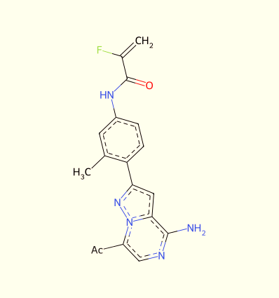 C=C(F)C(=O)Nc1ccc(-c2cc3c(N)ncc(C(C)=O)n3n2)c(C)c1